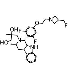 C[C@@H]1CC2c3ccccc3NC2[C@@H](c2c(F)cc(OCCN3CC(CF)C3)cc2F)N1CC(C)(O)CO